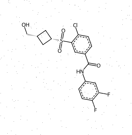 O=C(Nc1ccc(F)c(F)c1)c1ccc(Cl)c(S(=O)(=O)[C@H]2C[C@@H](CO)C2)c1